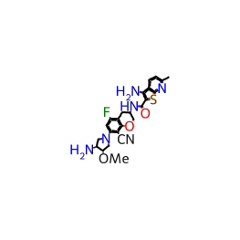 CO[C@H]1CN(c2cc(F)c3c(c2C#N)OC[C@H](NC(=O)c2sc4nc(C)ccc4c2N)C3)C[C@@H]1N